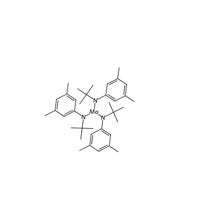 Cc1cc(C)cc([N]([Mo]([N](c2cc(C)cc(C)c2)C(C)(C)C)[N](c2cc(C)cc(C)c2)C(C)(C)C)C(C)(C)C)c1